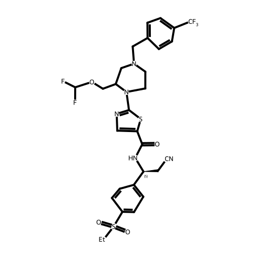 CCS(=O)(=O)c1ccc([C@H](CC#N)NC(=O)c2cnc(N3CCN(Cc4ccc(C(F)(F)F)cc4)CC3COC(F)F)s2)cc1